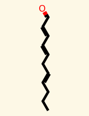 CCCC=CCC=CC=CC=O